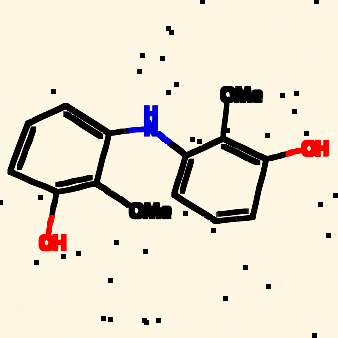 COc1c(O)cccc1Nc1cccc(O)c1OC